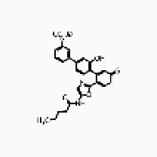 CCCCC(=O)Nc1cnc(C2=CCC(=S)C=C2c2ccc(-c3cccc([N+](=O)[O-])c3)cc2O)o1